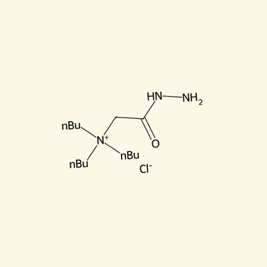 CCCC[N+](CCCC)(CCCC)CC(=O)NN.[Cl-]